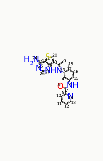 C=C(Nc1cc(NC(=O)c2ccccn2)ccc1C)c1csc2c(N)ncnc12